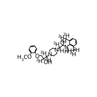 [2H]C([2H])([2H])c1cccc(C([2H])([2H])[2H])c1NC(=O)C([2H])([2H])N1CCN(C([2H])([2H])C([2H])(O)COc2ccccc2OC)CC1